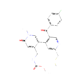 CCSCc1cc(-c2cn(C)c(=O)cc2CNC(=O)OC(C)(C)C)c(C(=O)c2ccc(Cl)cc2)cn1